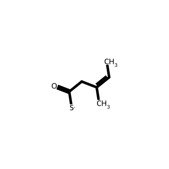 CC=C(C)CC(=O)[S]